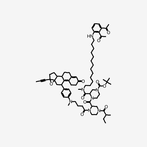 CC#CC12CCC3C4CCC5=CC(=O)CCC5=C4C(c4ccc(N(C)CCCC(=O)N5CCN(C(=O)C(C)CC)CC5C(=O)N5CCN(C(=O)OC(C)(C)C)CC5C(=O)N(C)CCCCCCCCCCCCCNc5cccc(C(C)=O)c5C(C)=O)cc4)CC31O2